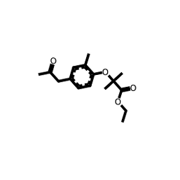 CCOC(=O)C(C)(C)Oc1ccc(CC(C)=O)cc1C